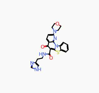 O=C(NCCc1c[nH]cn1)c1c(=O)c2ccc(N3CCOCC3)nc2n2c1sc1ccccc12